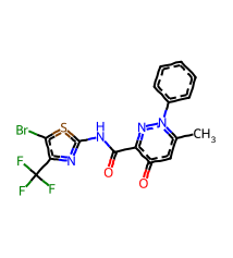 Cc1cc(=O)c(C(=O)Nc2nc(C(F)(F)F)c(Br)s2)nn1-c1ccccc1